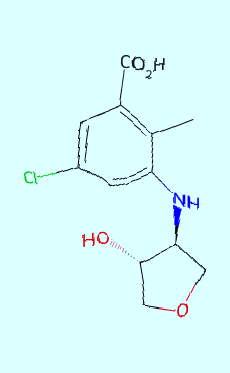 Cc1c(N[C@H]2COC[C@@H]2O)cc(Cl)cc1C(=O)O